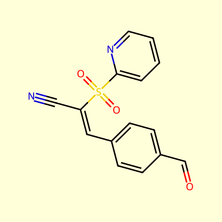 N#CC(=Cc1ccc(C=O)cc1)S(=O)(=O)c1ccccn1